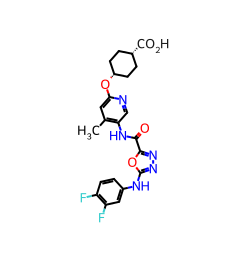 Cc1cc(O[C@H]2CC[C@@H](C(=O)O)CC2)ncc1NC(=O)c1nnc(Nc2ccc(F)c(F)c2)o1